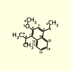 CCc1cc(OC)c(C(C)C)c2ccccc12